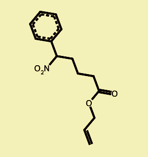 C=CCOC(=O)CCCC(c1ccccc1)[N+](=O)[O-]